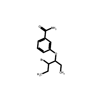 CCC(Br)C(CC)Oc1cccc(C(N)=O)c1